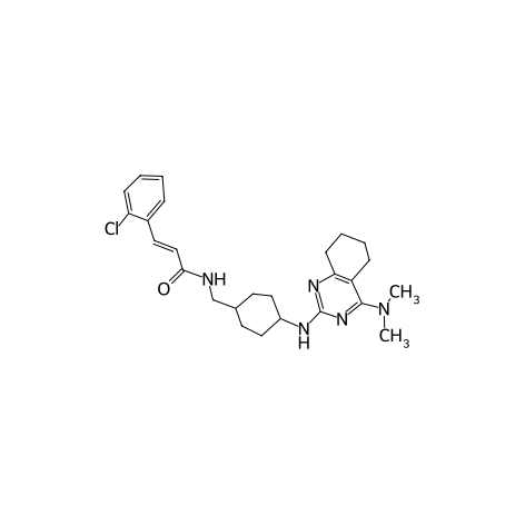 CN(C)c1nc(NC2CCC(CNC(=O)/C=C/c3ccccc3Cl)CC2)nc2c1CCCC2